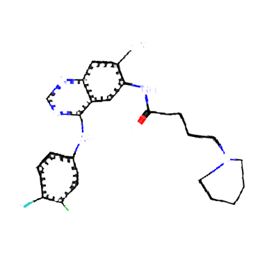 COc1cc2ncnc(Nc3ccc(F)c(Cl)c3)c2cc1NC(=O)CCCN1CCCCC1